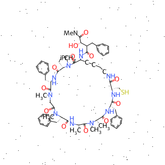 CNC(=O)[C@@H](O)C(Cc1ccccc1)C(=O)N[C@H]1CCCCNC(=O)[C@H](CS)NC(=O)[C@H](Cc2ccccc2)NC(=O)[C@H](C)N(C)C(=O)[C@H](C)NC(=O)[C@H](Cc2ccccc2)N(C)C(=O)CN(C)C(=O)[C@H](Cc2ccccc2)NC(=O)[C@H](CC(C)C)N(C)C1=O